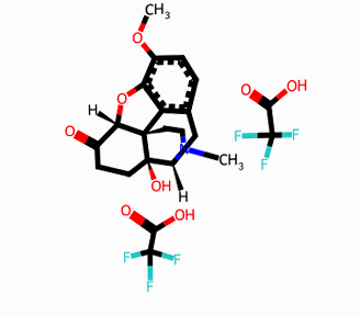 COc1ccc2c3c1O[C@H]1C(=O)CC[C@@]4(O)[C@@H](C2)N(C)CC[C@]314.O=C(O)C(F)(F)F.O=C(O)C(F)(F)F